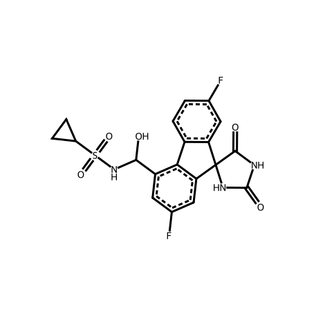 O=C1NC(=O)C2(N1)c1cc(F)ccc1-c1c(C(O)NS(=O)(=O)C3CC3)cc(F)cc12